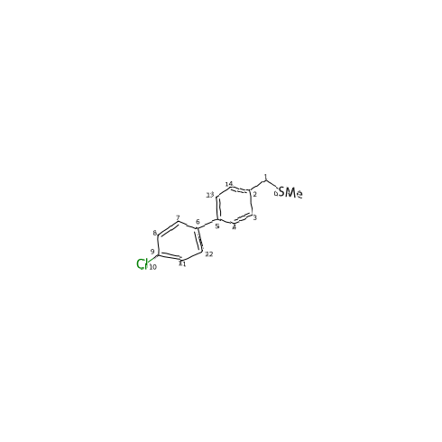 [CH2]SCc1ccc(-c2ccc(Cl)cc2)cc1